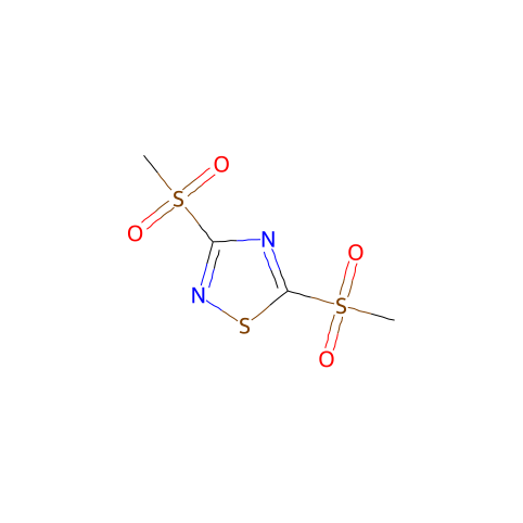 CS(=O)(=O)c1nsc(S(C)(=O)=O)n1